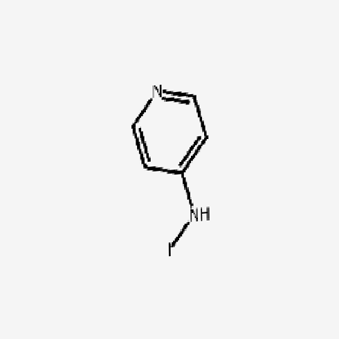 INc1ccncc1